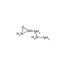 [SiH3][SiH2][SiH2][SiH]1O[SiH2]1